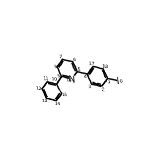 Ic1ccc(-c2cccc(-c3ccccc3)n2)cc1